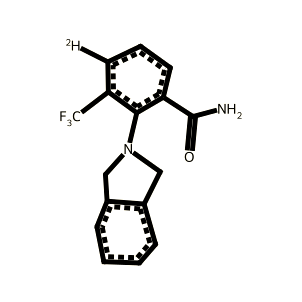 [2H]c1ccc(C(N)=O)c(N2Cc3ccccc3C2)c1C(F)(F)F